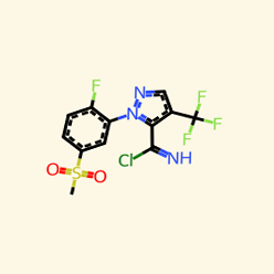 CS(=O)(=O)c1ccc(F)c(-n2ncc(C(F)(F)F)c2C(=N)Cl)c1